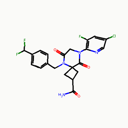 NC(=O)C1CC2(C1)C(=O)N(c1ncc(Cl)cc1F)CC(=O)N2Cc1ccc(C(F)F)cc1